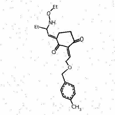 CCONC(C=C1CCC(=O)C(=CCOCc2ccc(C)cc2)C1=O)CC